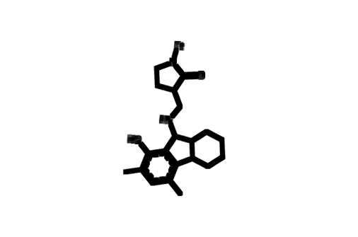 CCN1CCC(CNC2c3c(O)c(C)cc(C)c3C3CCCCC32)C1=O